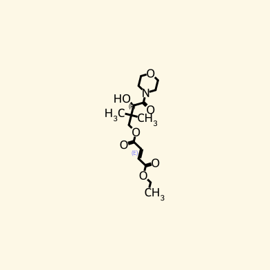 CCOC(=O)/C=C/C(=O)OCC(C)(C)[C@@H](O)C(=O)N1CCOCC1